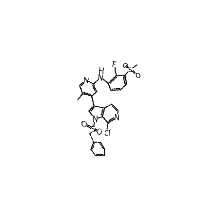 Cc1cnc(Nc2cccc(S(C)(=O)=O)c2F)cc1-c1cn(S(=O)(=O)Cc2ccccc2)c2c(Cl)nccc12